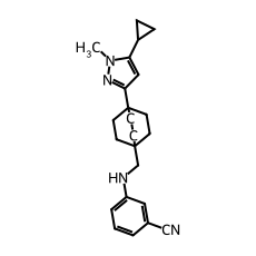 Cn1nc(C23CCC(CNc4cccc(C#N)c4)(CC2)CC3)cc1C1CC1